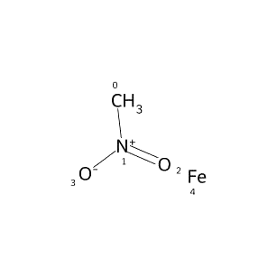 C[N+](=O)[O-].[Fe]